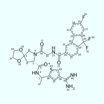 CC(NC(=O)[C@@H]1CC2(CN1C(=O)CNC(=O)c1ccc3c(c1)-c1ccc(F)cc1C3(F)F)OCCO2)c1cc(C(=N)N)cs1